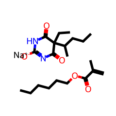 C=C(C)C(=O)OCCCCCC.CCCC(C)C1(CC)C(=O)N=C([O-])NC1=O.[Na+]